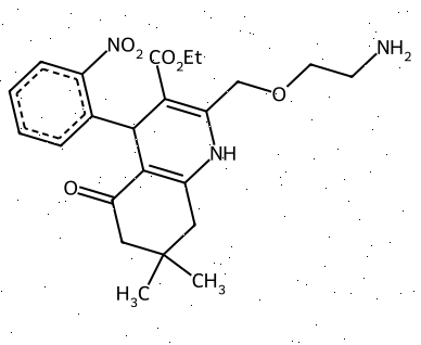 CCOC(=O)C1=C(COCCN)NC2=C(C(=O)CC(C)(C)C2)C1c1ccccc1[N+](=O)[O-]